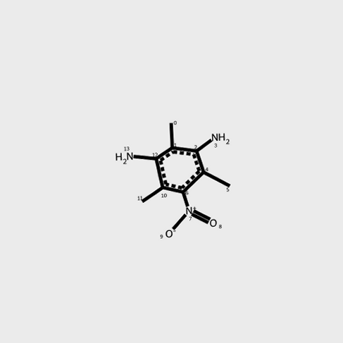 Cc1c(N)c(C)c([N+](=O)[O-])c(C)c1N